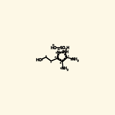 Nc1[nH]nc(CCO)c1N.O=S(=O)(O)O